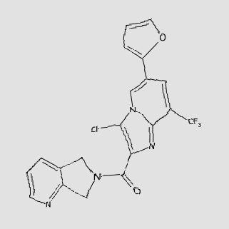 O=C(c1nc2c(C(F)(F)F)cc(-c3ccco3)cn2c1Cl)N1Cc2cccnc2C1